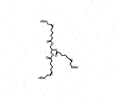 CCCCCCCCCCC/C=C\CCCCC(=O)OCC(COC(=O)CCCC/C=C\CCCCCCCCCCC)OC(=O)CCCC/C=C\CCCCCCCCCCC